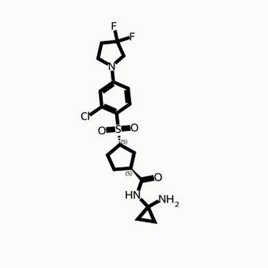 NC1(NC(=O)[C@H]2CC[C@H](S(=O)(=O)c3ccc(N4CCC(F)(F)C4)cc3Cl)C2)CC1